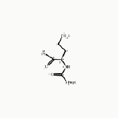 CCCCCCCC(=O)N[C@H](CCC(=O)O)C(=O)C(C)C